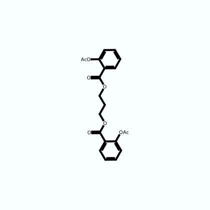 CC(=O)Oc1ccccc1C(=O)OCCCOC(=O)c1ccccc1OC(C)=O